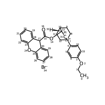 CCOc1ccc([N+]23CCC(CC2)[C@@H](OC(=O)C2c4ccccc4Oc4ccccc42)C3)cc1.[Br-]